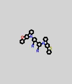 N#Cc1cc(-c2ccc(-n3c4ccccc4c4cc5oc6ccccc6c5cc43)cc2C#N)cc(-n2c3ccccc3c3cc4sc5ccccc5c4cc32)c1